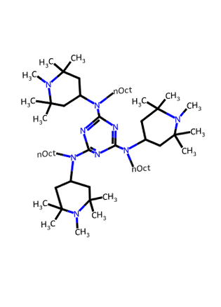 CCCCCCCCN(c1nc(N(CCCCCCCC)C2CC(C)(C)N(C)C(C)(C)C2)nc(N(CCCCCCCC)C2CC(C)(C)N(C)C(C)(C)C2)n1)C1CC(C)(C)N(C)C(C)(C)C1